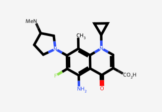 CNC1CCN(c2c(F)c(N)c3c(=O)c(C(=O)O)cn(C4CC4)c3c2C)C1